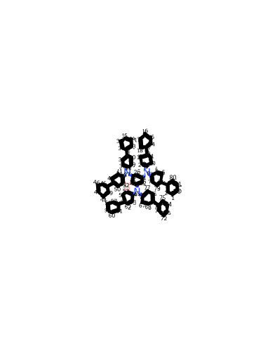 c1ccc(-c2ccc(N(c3ccc(-c4ccccc4)cc3)c3cc4c5c(c3)N(c3ccc(-c6ccccc6)cc3)c3ccc(-c6ccccc6)cc3B5c3cc(-c5ccccc5)ccc3N4c3ccc(-c4ccccc4)cc3)cc2)cc1